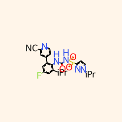 CC(C)c1cc(F)cc(-c2ccnc(C#N)c2)c1NC(=O)NS(=O)(=O)c1ccn(C(C)C)n1